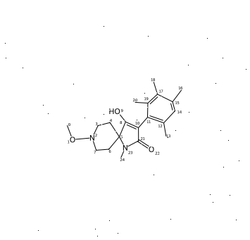 CON1CCC2(CC1)C(O)=C(c1c(C)cc(C)c(C)c1C)C(=O)N2C